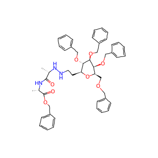 C[C@H](NNCC[C@@H]1O[C@H](COCc2ccccc2)[C@H](OCc2ccccc2)[C@H](OCc2ccccc2)[C@H]1OCc1ccccc1)C(=O)N[C@@H](C)C(=O)OCc1ccccc1